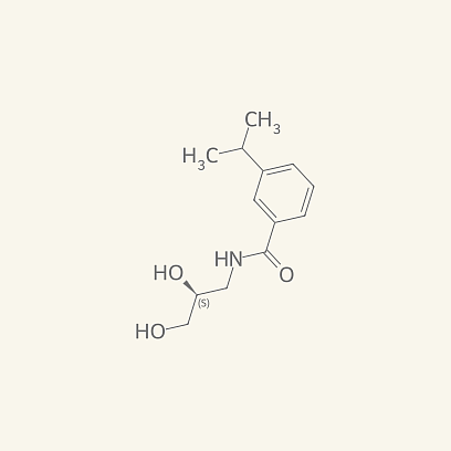 CC(C)c1cccc(C(=O)NC[C@H](O)CO)c1